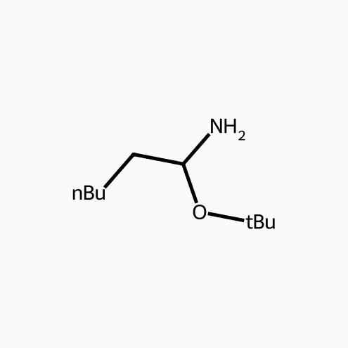 CCCCCC(N)OC(C)(C)C